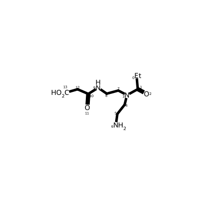 CCC(=O)N(CCN)CCNC(=O)CC(=O)O